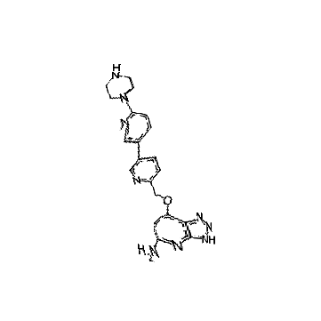 Nc1cc(OCc2ccc(-c3ccc(N4CCNCC4)nc3)cn2)c2nn[nH]c2n1